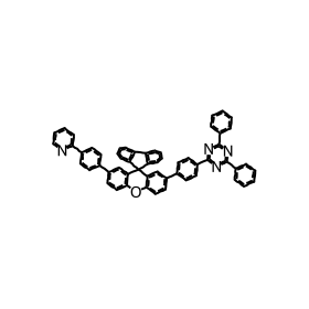 c1ccc(-c2nc(-c3ccccc3)nc(-c3ccc(-c4ccc5c(c4)C4(c6cc(-c7ccc(-c8ccccn8)cc7)ccc6O5)c5ccccc5-c5ccccc54)cc3)n2)cc1